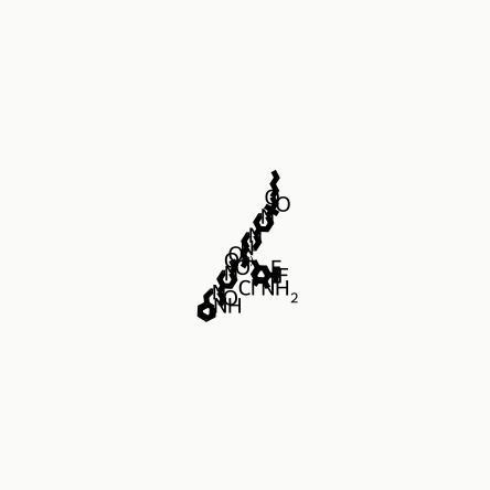 CCCCOC(=O)C(C)(C)N1CCC(N2CCN(C(=O)[C@@H](Cc3cc(Cl)c(N)c(C(F)(F)F)c3)OC(=O)N3CCC(N4CCc5ccccc5NC4=O)CC3)CC2)CC1